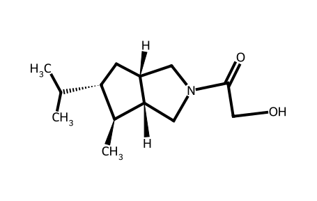 CC(C)[C@@H]1C[C@@H]2CN(C(=O)CO)C[C@@H]2[C@H]1C